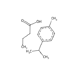 CCCC(=O)O.Cc1ccc(C(C)C)cc1